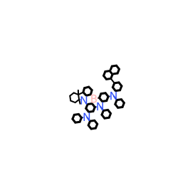 CC12CCCCC1(C)N1c3cc(N(c4ccccc4)c4ccccc4)cc4c3B(c3ccc(N(c5ccccc5)c5cccc(-c6cccc7ccccc67)c5)cc3N4c3ccccc3)c3cccc2c31